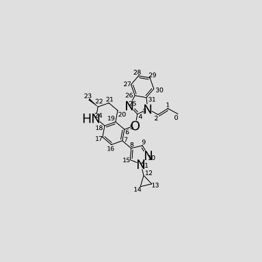 C/C=C/n1c(Oc2c(-c3cnn(C4CC4)c3)ccc3c2CC[C@H](C)N3)nc2ccccc21